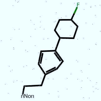 CCCCCCCCCCCc1ccc(C2CCC(F)CC2)cc1